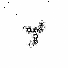 Nc1nnc(N2CCC(N3C[C@H]([C@H](OC(=O)C(F)(F)F)C(F)(F)F)OC[C@@H]3Cc3ccc(Cl)cc3)CC2)[nH]1